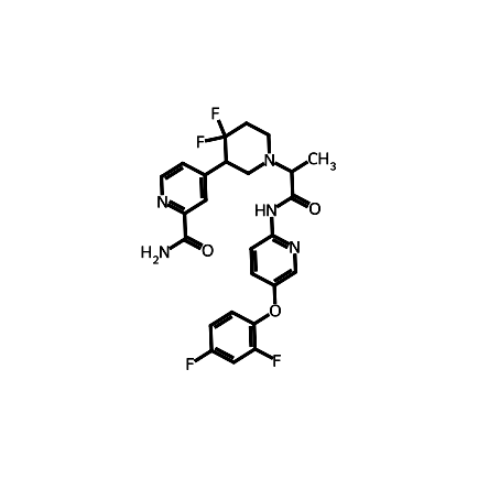 CC(C(=O)Nc1ccc(Oc2ccc(F)cc2F)cn1)N1CCC(F)(F)C(c2ccnc(C(N)=O)c2)C1